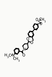 CN(C)c1cccc(C(=O)N2CCC(C3OCc4cc(-c5ccc(S(C)(=O)=O)cc5)ccc4O3)CC2)c1